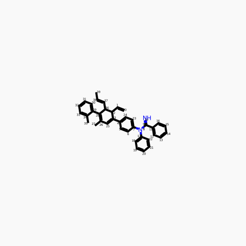 C=CC1C(c2ccc(N(C(=N)c3ccccc3)c3ccccc3)cc2)=CC(C)=C(c2ccccc2C)C1C=CC